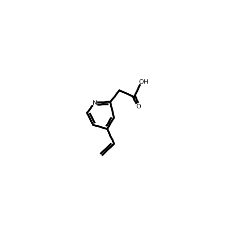 C=Cc1ccnc(CC(=O)O)c1